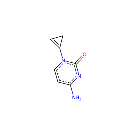 Nc1ccn(C2=CC2)c(=O)n1